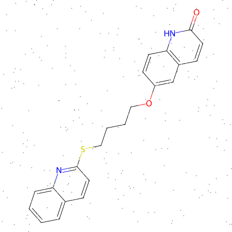 O=c1ccc2cc(OCCCCSc3ccc4ccccc4n3)ccc2[nH]1